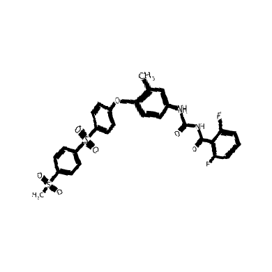 Cc1cc(NC(=O)NC(=O)c2c(F)cccc2F)ccc1Oc1ccc(S(=O)(=O)c2ccc(S(C)(=O)=O)cc2)cc1